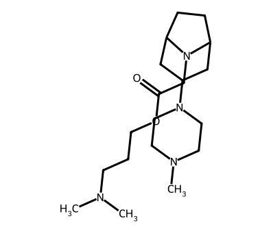 CN(C)CCCOC(=O)CN1C2CCC1CC(N1CCN(C)CC1)C2